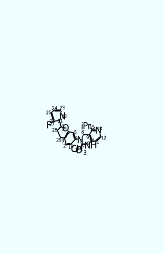 Cc1cc2c(cc1N1Cc3c(ccnc3C(C)C)NC1=O)OC(c1ncccc1F)CC2